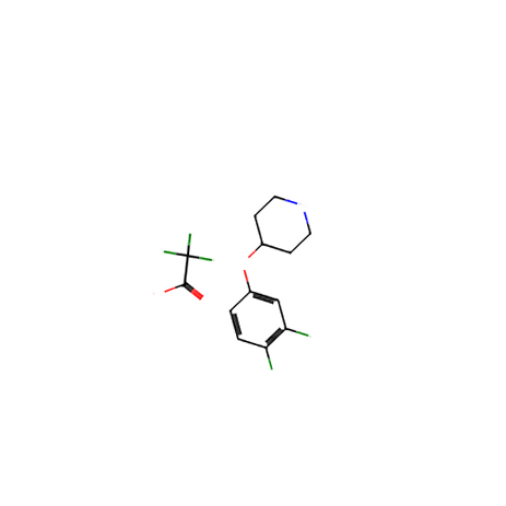 Clc1ccc(OC2CCNCC2)cc1Cl.O=C(O)C(F)(F)F